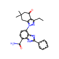 CCc1nn(-c2ccc(C(N)=O)c3[nH]c(-c4ccccc4)nc23)c2c1C(=O)CC(C)(C)C2